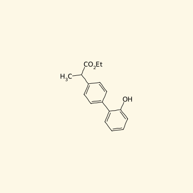 CCOC(=O)C(C)c1ccc(-c2ccccc2O)cc1